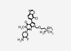 Cn1c(N2CC[C@H](N)[C@H](F)C2)nc2c(c(-c3ccc4ncsc4c3Cl)cn2COCC[Si](C)(C)C)c1=O